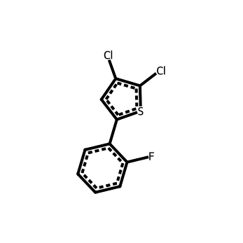 Fc1ccccc1-c1cc(Cl)c(Cl)s1